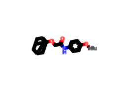 CCCCOc1ccc(NC(=O)COC2C3CC4CC(C3)CC2C4)cc1